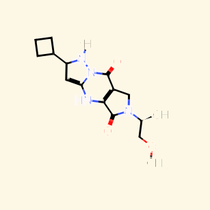 [2H]N1C(C2CCC2)C=C2NC3=C(CN([C@@H](C)COC)C3=O)C(=O)N21